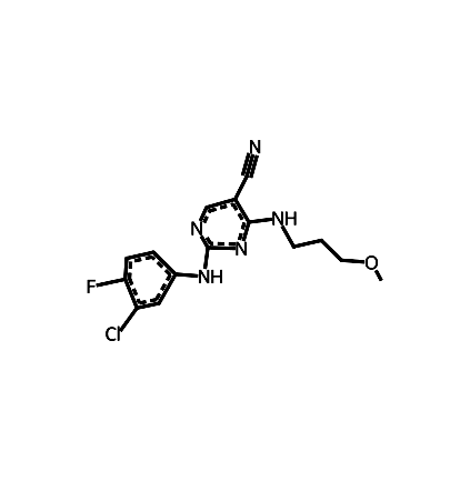 COCCCNc1nc(Nc2ccc(F)c(Cl)c2)ncc1C#N